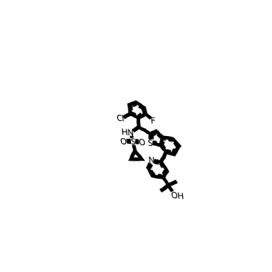 CC(C)(O)c1ccnc(-c2cccc3cc(C(NS(=O)(=O)C4CC4)c4c(F)cccc4Cl)sc23)c1